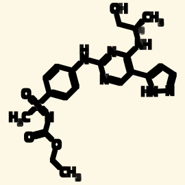 CCOC(=O)N=S(C)(=O)c1ccc(Nc2ncc(-c3ccn[nH]3)c(N[C@H](C)CO)n2)cc1